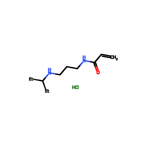 C=CC(=O)NCCCNC(CC)CC.Cl